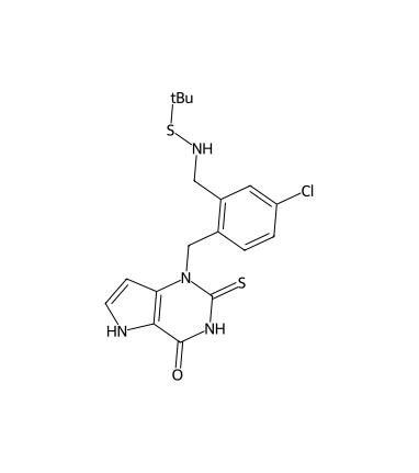 CC(C)(C)SNCc1cc(Cl)ccc1Cn1c(=S)[nH]c(=O)c2[nH]ccc21